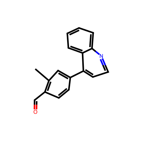 Cc1cc(-c2ccnc3ccccc23)ccc1C=O